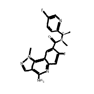 C[C@H](c1ccc(F)cn1)N(C)C(=O)c1cc2c(cc1F)nc(N)c1cnn(C)c12